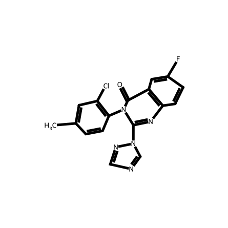 Cc1ccc(-n2c(-n3cncn3)nc3ccc(F)cc3c2=O)c(Cl)c1